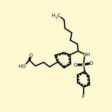 CCCCCCC(NS(=O)(=O)c1ccc(F)cc1)c1ccc(CCCC(=O)O)cc1